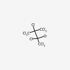 [O]C(Cl)(C(Cl)(Cl)Cl)C(Cl)(C(Cl)(Cl)Cl)C(Cl)(Cl)Cl